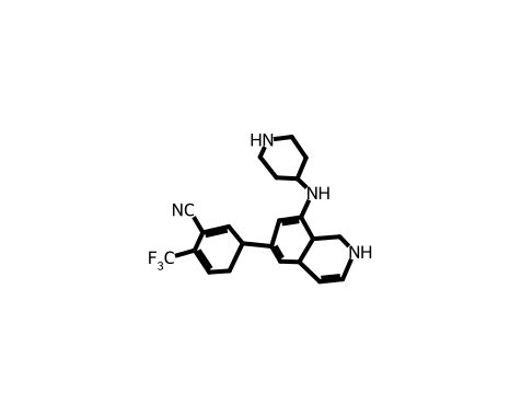 N#CC1=CC(C2=CC3C=CNCC3C(NC3CCNCC3)=C2)CC=C1C(F)(F)F